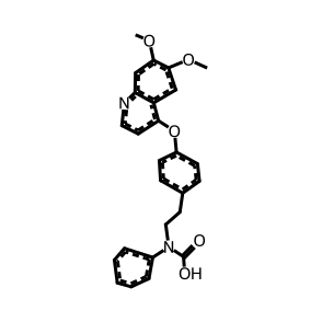 COc1cc2nccc(Oc3ccc(CCN(C(=O)O)c4ccccc4)cc3)c2cc1OC